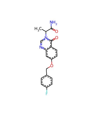 CC(C(N)=O)n1cnc2cc(OCc3ccc(F)cc3)ccc2c1=O